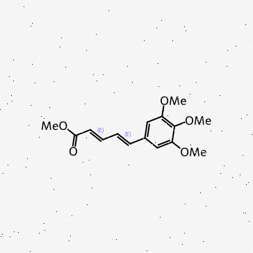 COC(=O)/C=C/C=C/c1cc(OC)c(OC)c(OC)c1